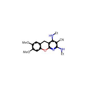 CCNc1nc2c(c(NCC)c1C#N)Cc1cc(OC)c(OC)cc1O2